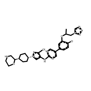 CC(Cn1cnnn1)Oc1cc(-c2cnc(Nc3cn([C@H]4CC[C@H](C5CNCCO5)CC4)nc3C(F)(F)F)nc2)ccc1Cl